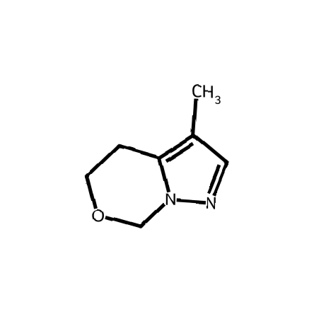 Cc1cnn2c1CCOC2